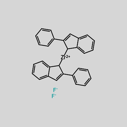 C1=C(c2ccccc2)[CH]([Zr+2][CH]2C(c3ccccc3)=Cc3ccccc32)c2ccccc21.[F-].[F-]